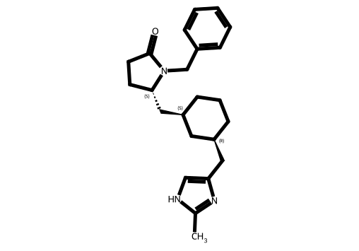 Cc1nc(C[C@@H]2CCC[C@H](C[C@@H]3CCC(=O)N3Cc3ccccc3)C2)c[nH]1